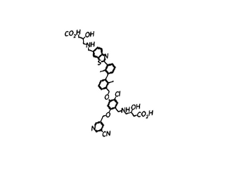 Cc1c(COc2cc(OCc3cncc(C#N)c3)c(CNCC(O)CC(=O)O)cc2Cl)cccc1-c1cccc(-c2nc3ccc(CNCC(O)CC(=O)O)cc3s2)c1C